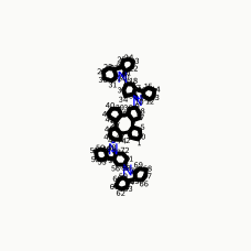 c1ccc2c(c1)-c1ccc(-n3c4ccccc4c4cc(-n5c6ccccc6c6ccccc65)ccc43)cc1-c1ccccc1-c1ccc(-n3c4ccccc4c4cc(-n5c6ccccc6c6ccccc65)ccc43)cc1-2